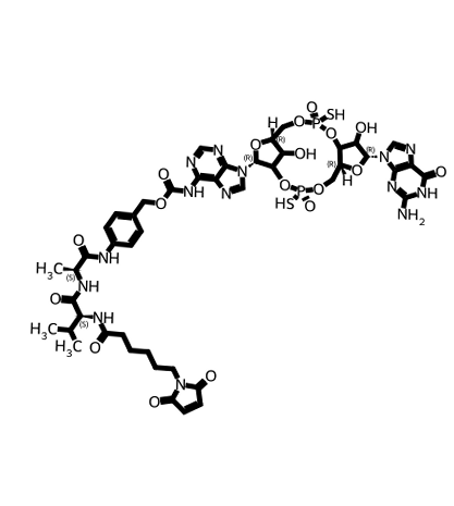 CC(C)[C@H](NC(=O)CCCCCN1C(=O)C=CC1=O)C(=O)N[C@@H](C)C(=O)Nc1ccc(COC(=O)Nc2ncnc3c2ncn3[C@@H]2O[C@@H]3COP(=O)(S)OC4C(O)[C@H](n5cnc6c(=O)[nH]c(N)nc65)O[C@@H]4COP(=O)(S)OC2C3O)cc1